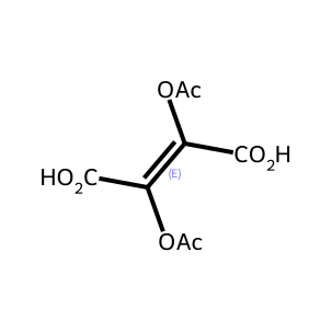 CC(=O)O/C(C(=O)O)=C(/OC(C)=O)C(=O)O